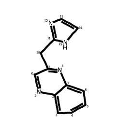 [c]1nc2ccccc2nc1Cc1ncc[nH]1